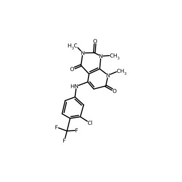 Cn1c(=O)c2c(Nc3ccc(C(F)(F)F)c(Cl)c3)cc(=O)n(C)c2n(C)c1=O